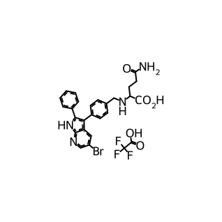 NC(=O)CCC(NCc1ccc(-c2c(-c3ccccc3)[nH]c3ncc(Br)cc23)cc1)C(=O)O.O=C(O)C(F)(F)F